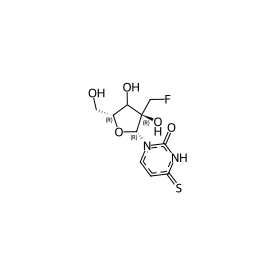 O=c1[nH]c(=S)ccn1[C@@H]1O[C@H](CO)C(O)[C@]1(O)CF